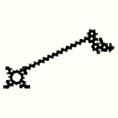 CN(C(=O)c1ccc(Cl)c(-c2cnc(C(F)(F)F)cc2C#N)c1)c1ccccc1OCCOCCOCCOCCOCCOCCOCCOCCOCCNC(=O)CN1CCN(CC=O)CCN(CC(=O)O)CCN(CC(=O)O)CC1